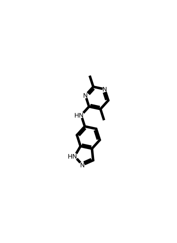 Cc1ncc(C)c(Nc2ccc3cn[nH]c3c2)n1